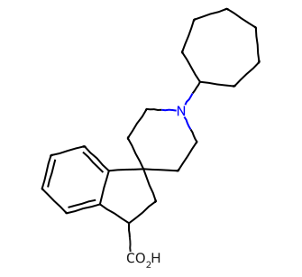 O=C(O)C1CC2(CCN(C3CCCCCC3)CC2)c2ccccc21